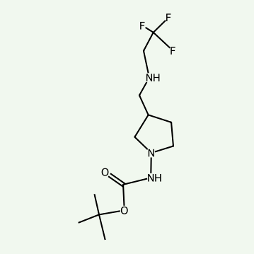 CC(C)(C)OC(=O)NN1CCC(CNCC(F)(F)F)C1